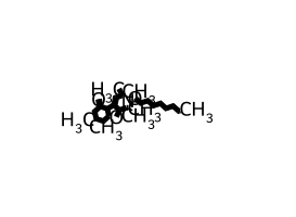 CCCCCCCCON1C(C)(C)C=C2C3C(=O)CC(C)(C)CC3OC2C1(C)C